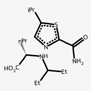 CC(C)c1cnc(C(N)=O)s1.CCC[C@H](NC(CC)CC)C(=O)O